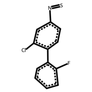 Fc1ccccc1-c1ccc(N=S)cc1Cl